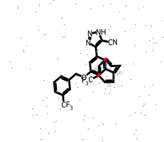 N#Cc1[nH]nnc1-c1cc(OCc2cccc(C(F)(F)F)c2)cc(C2=C\C=C\C=C(C(F)(F)F)/C=C\2)c1